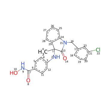 CC1(Nc2ccc(C(=O)NO)cc2)C(=O)N(Cc2cccc(Cl)c2)c2ccccc21